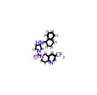 O=C(N1CCc2ncc(C(F)(F)F)cc2C1)N1CCC(NC2CCCc3ccccc32)C1